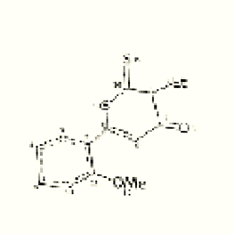 CCC1C(=O)C=C(c2ccccc2OC)SC1=S